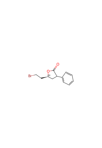 O=C1O[C@H](CCBr)CC1c1ccccc1